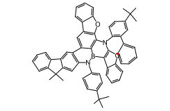 CC(C)(C)c1ccc(N2B3c4c(cc5c(oc6ccccc65)c4N(c4ccc(C(C)(C)C)cc4-c4ccccc4)c4oc5ccccc5c43)-c3cc4c(cc32)C(C)(C)c2ccccc2-4)cc1